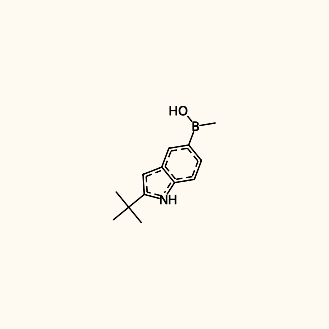 CB(O)c1ccc2[nH]c(C(C)(C)C)cc2c1